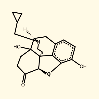 O=C1CCC2(O)[C@H]3Cc4ccc(O)c5c4[C@@]2(CCN3CC2CC2)[C@@H]1O5